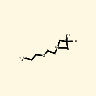 NCCOCCN1CC(F)(F)C1